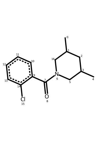 CC1CC(C)CN(C(=O)c2ccccc2Cl)C1